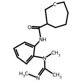 CN=C(C)N(C)c1ccccc1NC(=O)C1CCCCCC1